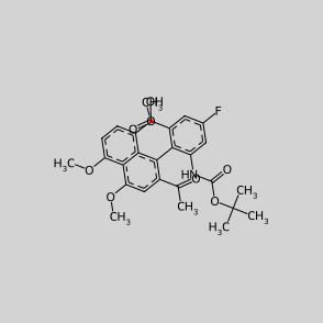 COc1ccc(OC)c2c(-c3c(NC(=O)OC(C)(C)C)cc(F)cc3C(=O)O)c(C(C)=O)cc(OC)c12